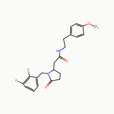 O=C(CC1CCC(=O)N1Cc1cccc(F)c1F)NCCc1ccc(OC(F)(F)F)cc1